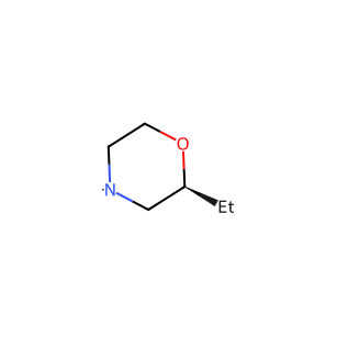 CC[C@H]1C[N]CCO1